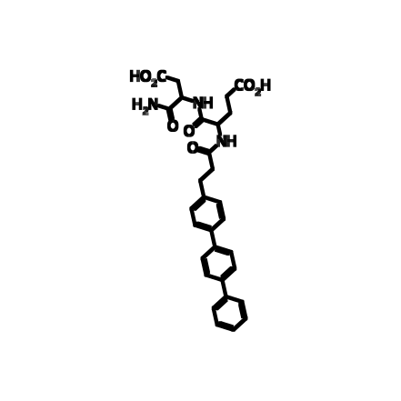 NC(=O)C(CC(=O)O)NC(=O)C(CCC(=O)O)NC(=O)CCc1ccc(-c2ccc(-c3ccccc3)cc2)cc1